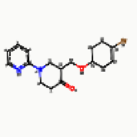 O=C1CCN(c2ccccn2)CC1COC1CC=C(Br)CC1